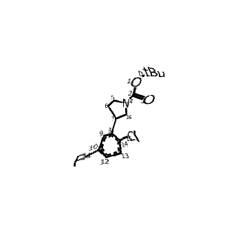 CC(C)(C)OC(=O)N1CCC(c2cc(F)ccc2Cl)C1